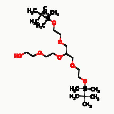 CC(C)(C)[Si](C)(C)OCCOCC(COCCO[Si](C)(C)C(C)(C)C)OCCOCCO